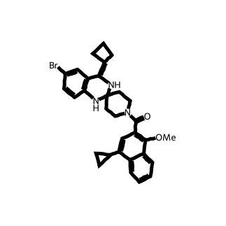 COc1c(C(=O)N2CCC3(CC2)NC(=C2CCC2)c2cc(Br)ccc2N3)cc(C2CC2)c2ccccc12